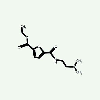 CCOC(=O)c1ccc(C(=O)NCCN(C)C)s1